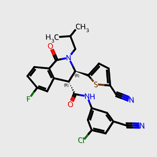 CC(C)CN1C(=O)c2ccc(F)cc2[C@@H](C(=O)Nc2cc(Cl)cc(C#N)c2)[C@@H]1c1ccc(C#N)s1